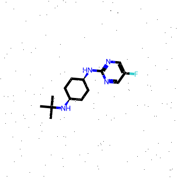 CC(C)(C)N[C@H]1CC[C@@H](Nc2ncc(F)cn2)CC1